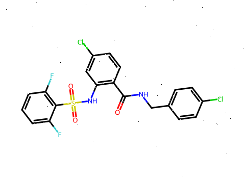 O=C(NCc1ccc(Cl)cc1)c1ccc(Cl)cc1NS(=O)(=O)c1c(F)cccc1F